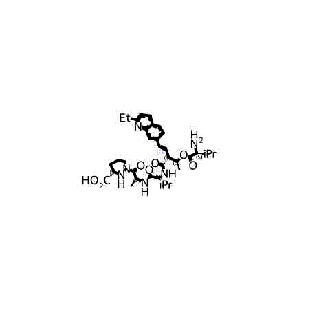 CCc1ccc2ccc(/C=C/[C@@H](C(=O)N[C@H](C(=O)N[C@@H](C)C(=O)N3CCC[C@@H](C(=O)O)N3)C(C)C)[C@H](C)OC(=O)[C@@H](N)C(C)C)cc2n1